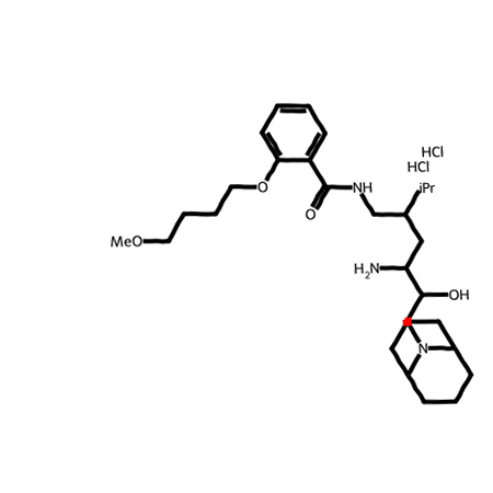 COCCCCOc1ccccc1C(=O)NCC(CC(N)C(O)CN1C2CCCC1CCC2)C(C)C.Cl.Cl